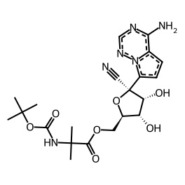 CC(C)(C)OC(=O)NC(C)(C)C(=O)OC[C@H]1O[C@@](C#N)(c2ccc3c(N)ncnn23)[C@H](O)[C@@H]1O